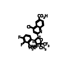 COc1c([C@H]2[C@H](c3cc(Cl)c4cc(C(=O)O)ccc4n3)O[C@@](C)(C(F)(F)F)[C@H]2C)ccc(F)c1F